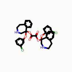 O=C(OC1(Oc2cccc(Cl)c2)CNCCc2ccccc21)C(=O)OC1(Oc2cccc(Cl)c2)CNCCc2ccccc21